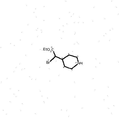 CCOC(=O)C(Br)C1CCNCC1